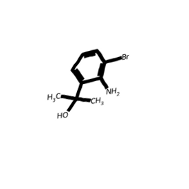 CC(C)(O)c1cccc(Br)c1N